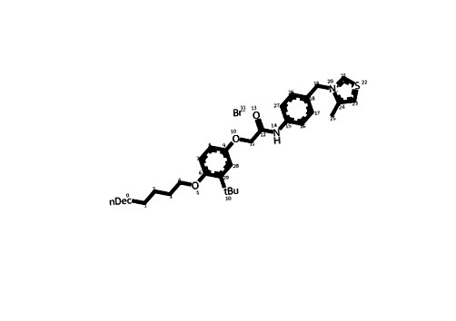 CCCCCCCCCCCCCCOc1ccc(OCC(=O)Nc2ccc(C[n+]3cscc3C)cc2)cc1C(C)(C)C.[Br-]